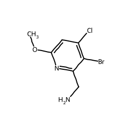 COc1cc(Cl)c(Br)c(CN)n1